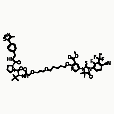 COC(=O)c1cc(N2C(=S)N(c3ccc(C#N)c(C(F)(F)F)c3F)C(=O)C2(C)C)cnc1OCCCCCOCCCOCC(=O)N[C@H](C(=O)N1CCC[C@H]1C(=O)NCc1ccc(-c2scnc2C)cc1)C(C)(C)C